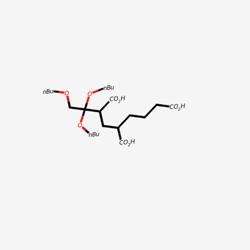 CCCCOCC(OCCCC)(OCCCC)C(CC(CCCC(=O)O)C(=O)O)C(=O)O